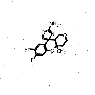 CC12CCOCC1C1(COC(N)=N1)c1cc(Br)c(F)cc1O2